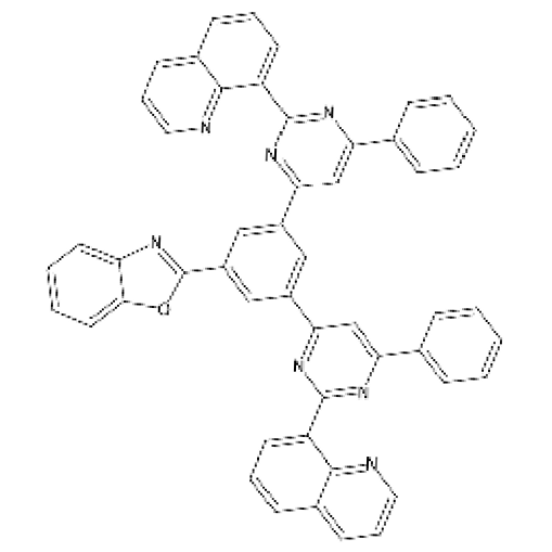 c1ccc(-c2cc(-c3cc(-c4cc(-c5ccccc5)nc(-c5cccc6cccnc56)n4)cc(-c4nc5ccccc5o4)c3)nc(-c3cccc4cccnc34)n2)cc1